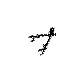 CCCCC(CCCC)CCOC(=O)CCCCCCCCCC(CCCCCCCCCC(=O)OCCC(CCCC)CCCC)NC(=O)CN1CCCCC1